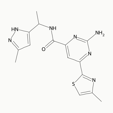 Cc1cc(C(C)NC(=O)c2cc(-c3nc(C)cs3)nc(N)n2)[nH]n1